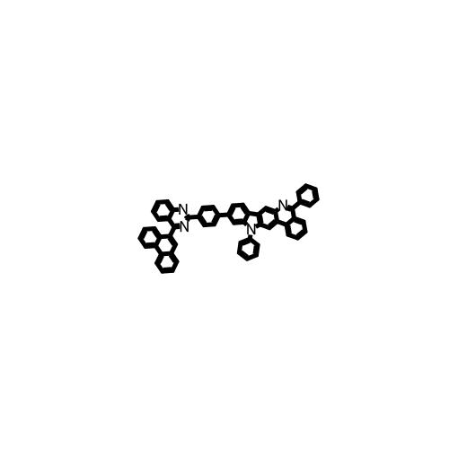 c1ccc(-c2nc3cc4c5ccc(-c6ccc(-c7nc(-c8cc9ccccc9c9ccccc89)c8ccccc8n7)cc6)cc5n(-c5ccccc5)c4cc3c3ccccc23)cc1